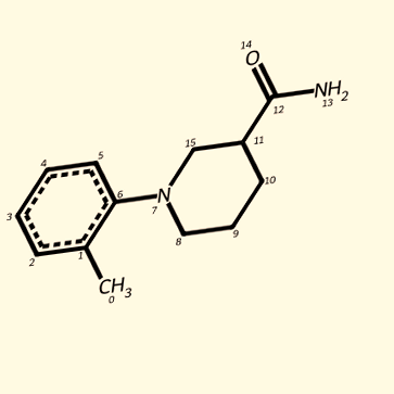 Cc1ccccc1N1CCCC(C(N)=O)C1